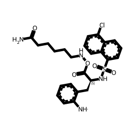 [NH]c1ccccc1C[C@H](NS(=O)(=O)c1cccc2c(Cl)cccc12)C(=O)ONCCCCCC(N)=O